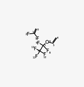 C=C(F)F.C=COC(F)(F)C(F)(F)F